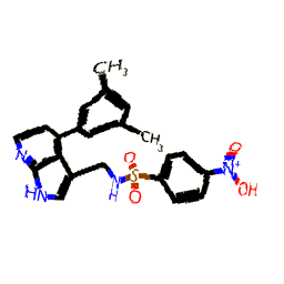 Cc1cc(C)cc(-c2ccnc3[nH]cc(CNS(=O)(=O)c4ccc([N+](=O)O)cc4)c23)c1